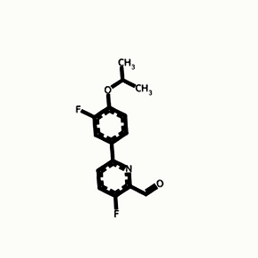 CC(C)Oc1ccc(-c2ccc(F)c(C=O)n2)cc1F